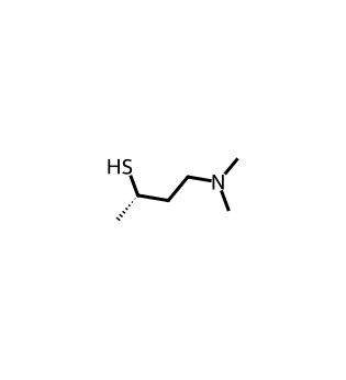 C[C@H](S)CCN(C)C